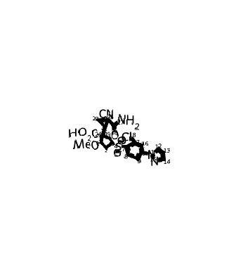 CO[C@H]1C[C@@H](S(=O)(=O)c2ccc(-n3cccn3)cc2Cl)C[C@]1(C(=O)O)C1CC1(C#N)C(N)=O